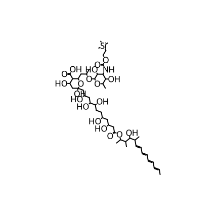 C/C=C/C=C/C=C/C=C/C(C)C(O)C(C)C(C)OC(=O)CC(O)CC(O)CCC(O)C(O)CC(O)CC1(O)CC(O)C(C(=O)O)C(CC(C)OC2OC(C)C(O)C(NC(=O)OCC[Si](C)(C)C)C2O)O1